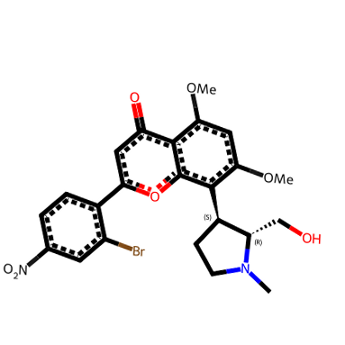 COc1cc(OC)c2c(=O)cc(-c3ccc([N+](=O)[O-])cc3Br)oc2c1[C@@H]1CCN(C)[C@H]1CO